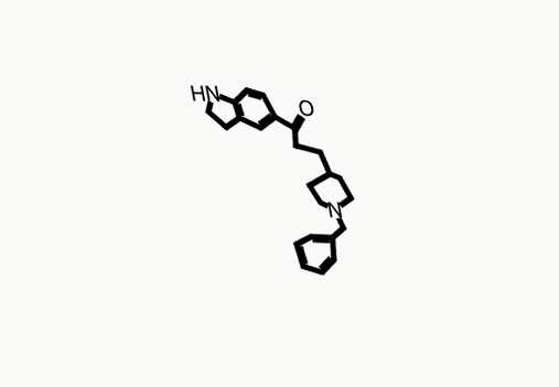 O=C(CCC1CCN(Cc2ccccc2)CC1)c1ccc2c(c1)CCN2